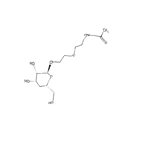 CC(=O)NCCOCCO[C@H]1O[C@H](CO)C[C@H](O)[C@@H]1O